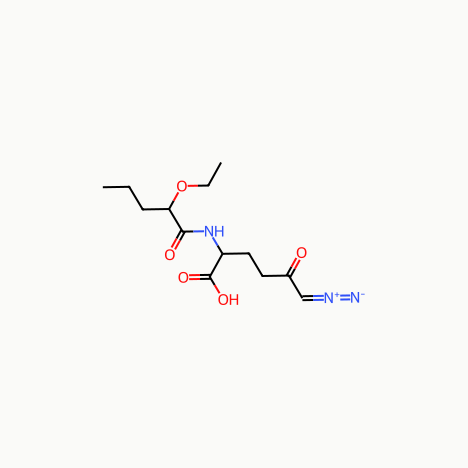 CCCC(OCC)C(=O)NC(CCC(=O)C=[N+]=[N-])C(=O)O